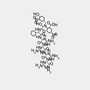 N=C(N)NC(NC(=O)C(NC(=N)N)NC(=O)C(NC(=N)N)NC(=O)C(NC(=N)N)NC(=O)C(NC(=O)C(O)N(Cc1ccc(O)c([N+](=O)[O-])c1)c1ccc([N+](=O)[O-])cc1C(=O)O)c1ccccc1)C(N)=O